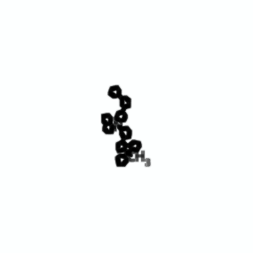 CC1(c2ccccc2)c2ccccc2-c2c(-c3cccc(N(c4ccc(-c5cccc(-c6ccccc6)c5)cc4)c4cccc5ccccc45)c3)cccc21